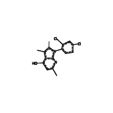 Cc1cc(O)c2c(C)c(C)n(-c3ccc(Cl)cc3Cl)c2n1